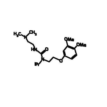 COc1ccc(OCCN(C(=O)NCCN(C)C)C(C)C)cc1OC